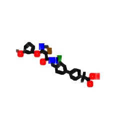 COc1cccc(Oc2ncsc2C(=O)NCc2ccc(-c3ccc(C(C)(C)C(=O)O)cc3)cc2F)c1